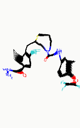 NNC(=O)c1ccc(CC2CN(C(=O)Nc3ccc(OC(F)(F)F)cc3)CCS2)c(F)c1